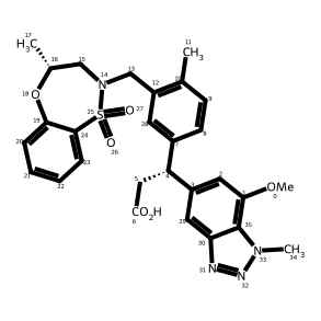 COc1cc([C@H](CC(=O)O)c2ccc(C)c(CN3C[C@@H](C)Oc4ccccc4S3(=O)=O)c2)cc2nnn(C)c12